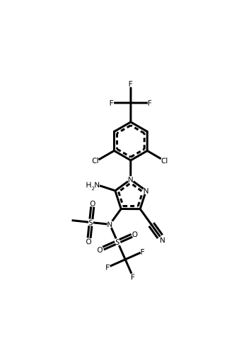 CS(=O)(=O)N(c1c(C#N)nn(-c2c(Cl)cc(C(F)(F)F)cc2Cl)c1N)S(=O)(=O)C(F)(F)F